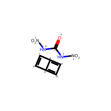 O=C(N[N+](=O)[O-])N[N+](=O)[O-].c1cc2ccc1-2